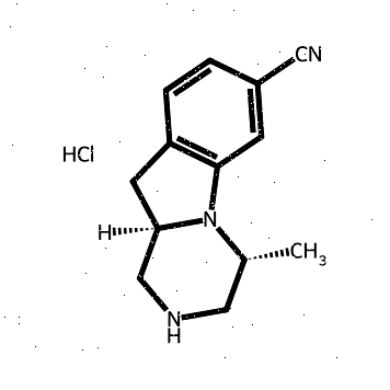 C[C@@H]1CNC[C@H]2Cc3ccc(C#N)cc3N21.Cl